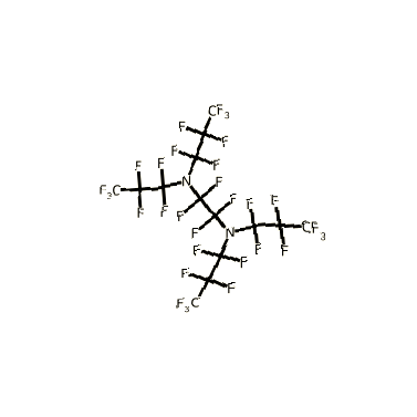 FC(F)(F)C(F)(F)C(F)(F)N(C(F)(F)C(F)(F)N(C(F)(F)C(F)(F)C(F)(F)F)C(F)(F)C(F)(F)C(F)(F)F)C(F)(F)C(F)(F)C(F)(F)F